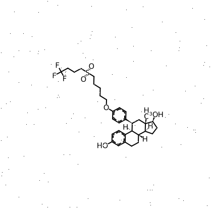 C[C@]12C[C@H](c3ccc(OCCCCCS(=O)(=O)CCCC(F)(F)F)cc3)[C@@H]3c4ccc(O)cc4CC[C@H]3[C@@H]1CC[C@@H]2O